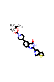 CC(C)(C)OC(=O)N1CCC(c2ccc3nc(-c4cc5ccsc5cn4)[nH]c(=O)c3c2)CC1